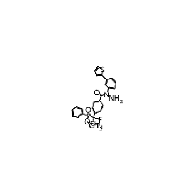 COP(=O)(c1ccccc1)C(C)(F)c1ccc(C(=O)N(N)c2cccc(-c3cccs3)c2)cc1